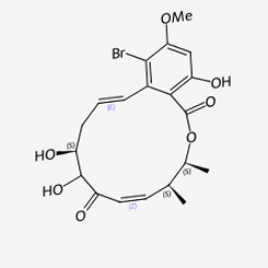 COc1cc(O)c2c(c1Br)/C=C/C[C@H](O)C(O)C(=O)/C=C\[C@H](C)[C@H](C)OC2=O